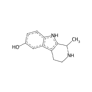 CC1NCCc2c1[nH]c1ccc(O)cc21